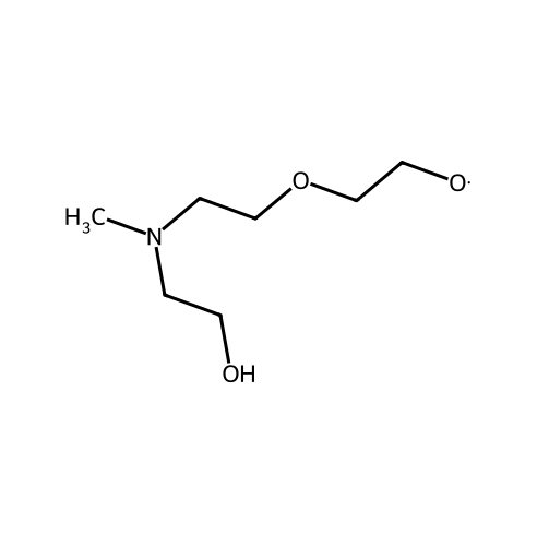 CN(CCO)CCOCC[O]